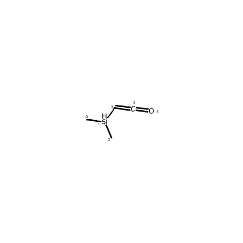 C[SiH](C)C=C=O